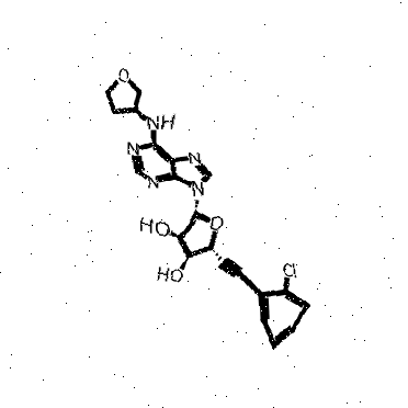 O[C@@H]1[C@H](O)[C@@H](C#Cc2ccccc2Cl)O[C@H]1n1cnc2c(NC3CCOC3)ncnc21